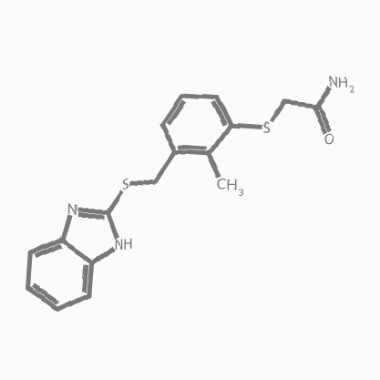 Cc1c(CSc2nc3ccccc3[nH]2)cccc1SCC(N)=O